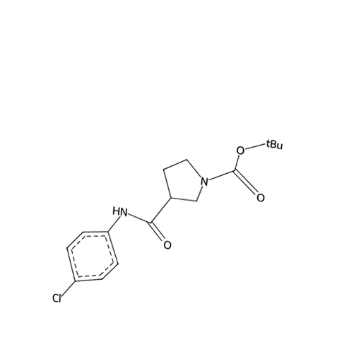 CC(C)(C)OC(=O)N1CCC(C(=O)Nc2ccc(Cl)cc2)C1